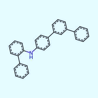 c1ccc(-c2cccc(-c3ccc(Nc4ccccc4-c4ccccc4)cc3)c2)cc1